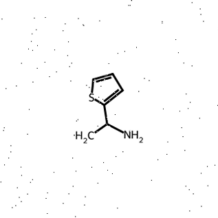 [CH2]C(N)c1cccs1